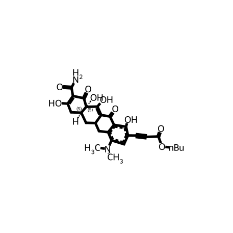 CCCCOC(=O)C#Cc1cc(N(C)C)c2c(c1O)C(=O)C1=C(O)[C@]3(O)C(=O)C(C(N)=O)=C(O)C[C@@H]3CC1C2